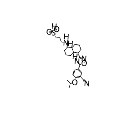 CC(C)Oc1ccc(-c2nc([C@@H]3CCC[C@@H]4[C@H]3CCC[C@H]4NCCC[SH](=O)=O)no2)cc1C#N